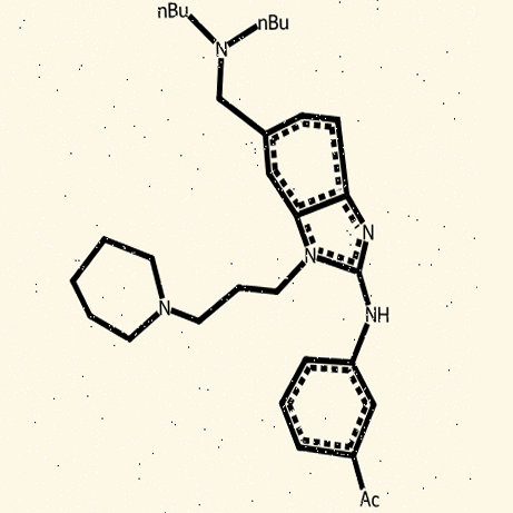 CCCCN(CCCC)Cc1ccc2nc(Nc3cccc(C(C)=O)c3)n(CCCN3CCCCC3)c2c1